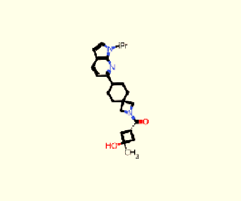 CC(C)n1ccc2ccc(C3CCC4(CC3)CN(C(=O)[C@H]3C[C@@](C)(O)C3)C4)nc21